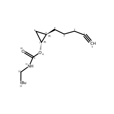 C#CCCC[C@@H]1C[C@H]1OC(=O)NCC(C)(C)C